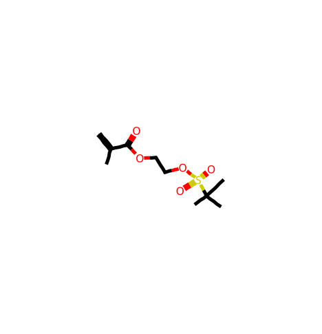 C=C(C)C(=O)OCCOS(=O)(=O)C(C)(C)C